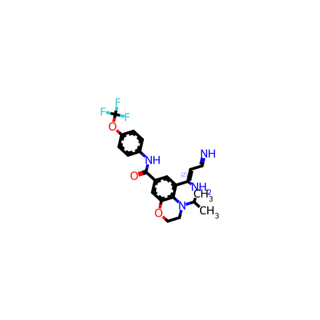 CC(C)N1CCOc2cc(C(=O)Nc3ccc(OC(F)(F)F)cc3)cc(/C(N)=C/C=N)c21